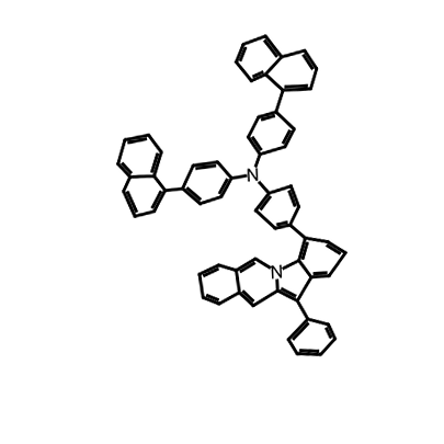 c1ccc(-c2c3cccc(-c4ccc(N(c5ccc(-c6cccc7ccccc67)cc5)c5ccc(-c6cccc7ccccc67)cc5)cc4)c3n3cc4ccccc4cc23)cc1